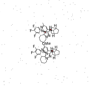 COc1cc(N2C[C@H]3CC[C@@H](C2)C3Nc2nc3n(n2)CCCC[C@@H]3c2ccc(F)c(F)c2F)cnn1.Cc1cc(N2C[C@H]3CC[C@@H](C2)C3Nc2nc3n(n2)CCCC[C@@H]3c2ccc(F)c(F)c2F)cnn1